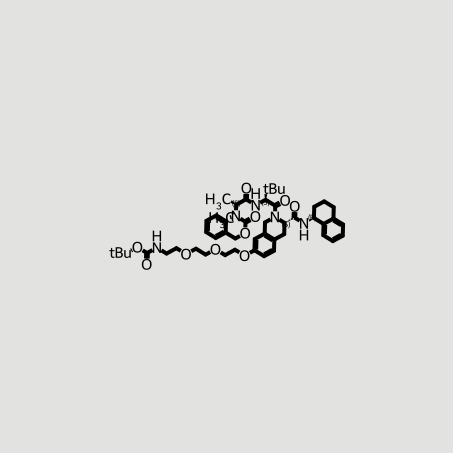 C[C@@H](C(=O)N[C@H](C(=O)N1Cc2cc(OCCOCCOCCNC(=O)OC(C)(C)C)ccc2C[C@H]1C(=O)N[C@@H]1CCCc2ccccc21)C(C)(C)C)N(C)C(=O)OCc1ccccc1